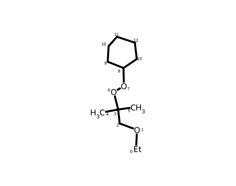 CCOCC(C)(C)OOC1CCCCC1